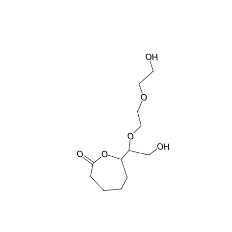 O=C1CCCCC(C(CO)OCCOCCO)O1